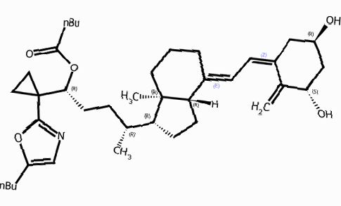 C=C1/C(=C\C=C2/CCC[C@]3(C)[C@@H]([C@H](C)CC[C@@H](OC(=O)CCCC)C4(c5ncc(CCCC)o5)CC4)CC[C@@H]23)C[C@@H](O)C[C@@H]1O